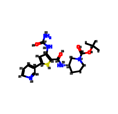 CC(C)(C)OC(=O)N1CCC[C@H](NC(=O)c2sc(-c3cccnc3)cc2NC(N)=O)C1